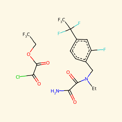 CCN(Cc1ccc(C(F)(F)C(F)(F)F)cc1F)C(=O)C(N)=O.O=C(Cl)C(=O)OCC(F)(F)F